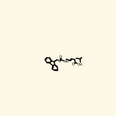 CC(C)C[C@H](C=CCNC(=O)OCC1c2ccccc2-c2ccccc21)C(=O)O